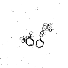 O=C([O-])[O-].O=C([O-])[O-].[Ca+2].[Ca+2].[Ca+2].[O-]c1ccccc1.[O-]c1ccccc1